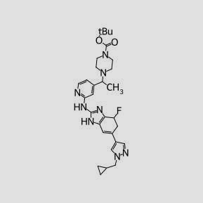 CC(c1ccnc(Nc2nc3c([nH]2)C=C(c2cnn(CC4CC4)c2)CC3F)c1)N1CCN(C(=O)OC(C)(C)C)CC1